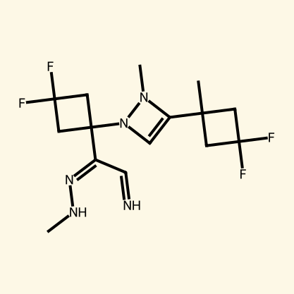 CN/N=C(\C=N)C1(n2cc(C3(C)CC(F)(F)C3)n2C)CC(F)(F)C1